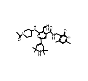 CC(=O)N1CCC(Nc2nc(C3=CC(C)(C)NC(C)(C)C3)cc(C(=O)NCc3c(C)cc(C)[nH]c3=O)c2C=N)CC1